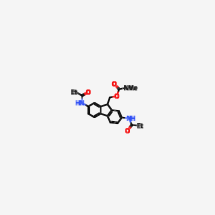 CCC(=O)Nc1ccc2c(c1)C(COC(=O)NC)c1cc(NC(=O)CC)ccc1-2